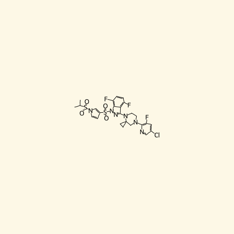 CC(C)S(=O)(=O)n1ccc(S(=O)(=O)n2nc(N3CCN(c4ncc(Cl)cc4F)CC34CC4)c3c(F)ccc(F)c32)c1